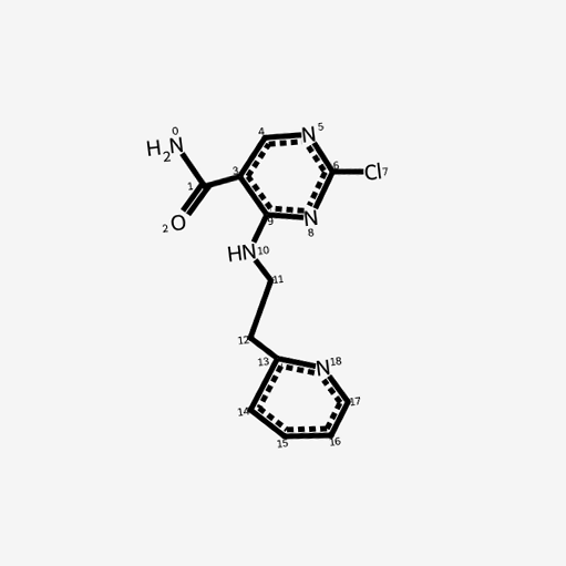 NC(=O)c1cnc(Cl)nc1NCCc1ccccn1